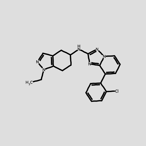 CCn1ncc2c1CCC(Nc1nc3c(-c4ccccc4Cl)cccn3n1)C2